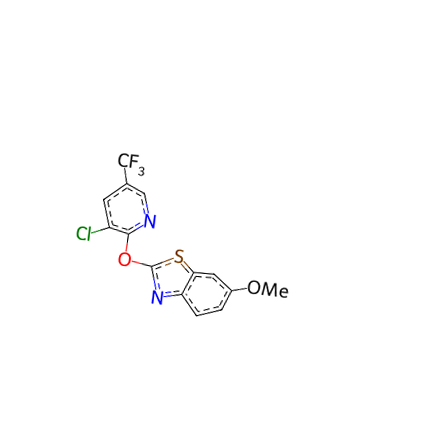 COc1ccc2nc(Oc3ncc(C(F)(F)F)cc3Cl)sc2c1